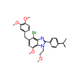 COCCn1c(-c2ccc(C(C)C)cc2)nc2c(Br)c(Cc3ccc(OC)c(OC)c3)cc(OC)c21